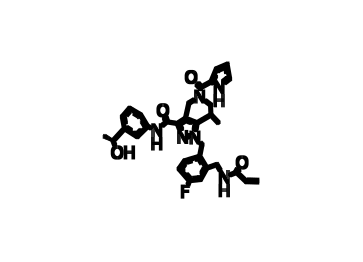 C=CC(=O)NCc1cc(F)ccc1Cn1nc(C(=O)Nc2cccc([C@H](C)O)c2)c2c1C(C)CN(C(=O)c1ccc[nH]1)C2